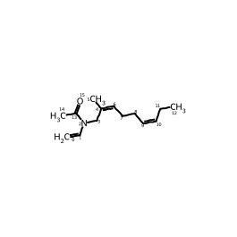 C=CN(C/C(C)=C\CC/C=C\CC)C(C)=O